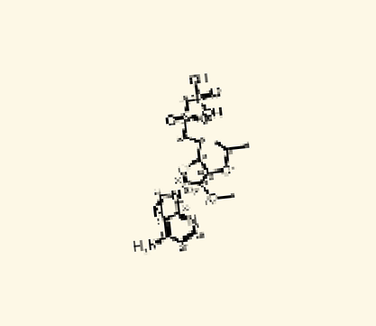 CO[C@@H]1[C@H](OC(C)C)C(CCS(=O)(=O)CP(=O)(O)O)O[C@H]1n1cnc2c(N)ccnc21